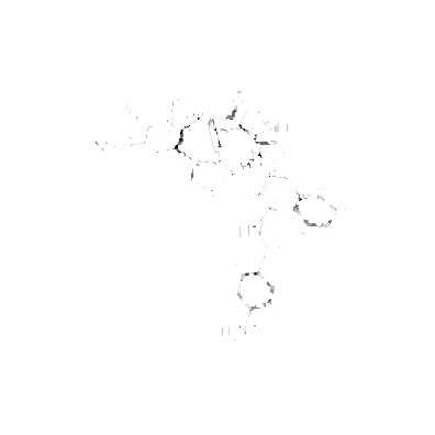 CCC(C)C(C(CC(=O)N1CCCC1C(OC)C(C)C(=O)NC(CC(=O)NCc1ccc(N)cc1)Cc1ccccc1)OC)N(C)C(=O)CNC(=O)C(C(C)C)N(C)C